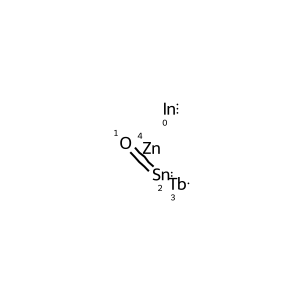 [In].[O]=[Sn].[Tb].[Zn]